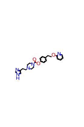 O=C(Oc1ccc(CCOc2ccccn2)cc1)N1CCN(CCc2c[nH]cn2)CC1